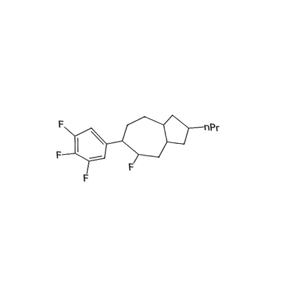 CCCC1CC2CCC(c3cc(F)c(F)c(F)c3)C(F)CC2C1